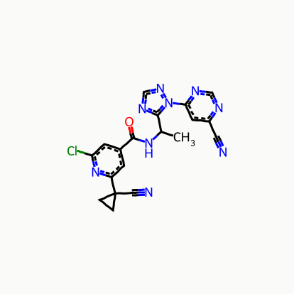 CC(NC(=O)c1cc(Cl)nc(C2(C#N)CC2)c1)c1ncnn1-c1cc(C#N)ncn1